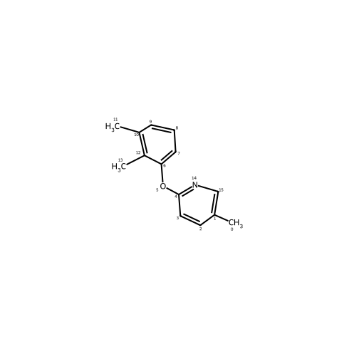 Cc1ccc(Oc2cccc(C)c2C)nc1